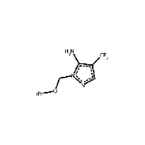 CC(C)OCn1ncc(C(F)(F)F)c1N